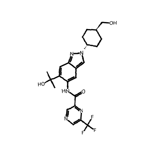 CC(C)(O)c1cc2nn([C@H]3CC[C@H](CO)CC3)cc2cc1NC(=O)c1cncc(C(F)(F)F)n1